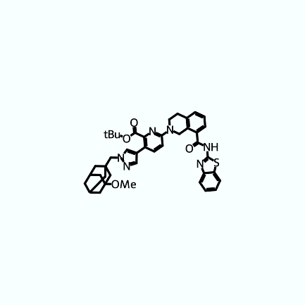 COC12CC3CC(CC(Cn4cc(-c5ccc(N6CCc7cccc(C(=O)Nc8nc9ccccc9s8)c7C6)nc5C(=O)OC(C)(C)C)cn4)(C3)C1)C2